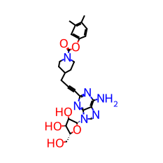 Cc1ccc(OC(=O)N2CCC(CC#Cc3nc(N)c4ncn([C@@H]5O[C@H](CO)[C@@H](O)[C@H]5O)c4n3)CC2)cc1C